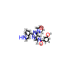 COc1cccc(C(=O)N2Cc3c(N4CCOCC4C)nc(-c4cccc5[nH]ccc45)nc3C2(C)C)c1